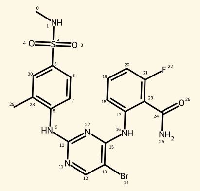 CNS(=O)(=O)c1ccc(Nc2ncc(Br)c(Nc3cccc(F)c3C(N)=O)n2)c(C)c1